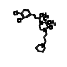 CC1(C)C(=O)N(CCCN2CCCCC2)CCN1C(=O)/C=C/c1ccc(Cl)c(Cl)c1